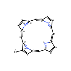 CCC1=CC2=CC3=NC(=CC4=NC(=CC5=NC(=CC1=N2)C=C5)C=C4)C=C3